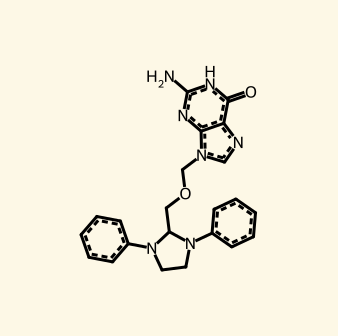 Nc1nc2c(ncn2COCC2N(c3ccccc3)CCN2c2ccccc2)c(=O)[nH]1